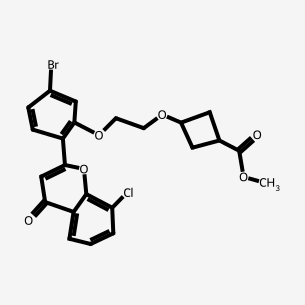 COC(=O)C1CC(OCCOc2cc(Br)ccc2-c2cc(=O)c3cccc(Cl)c3o2)C1